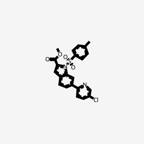 COC(=O)c1cc2ccc(-c3ccc(Cl)cn3)cc2n1S(=O)(=O)c1ccc(C)cc1